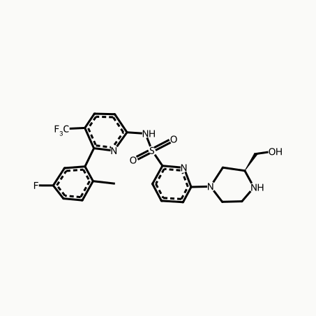 Cc1ccc(F)cc1-c1nc(NS(=O)(=O)c2cccc(N3CCN[C@H](CO)C3)n2)ccc1C(F)(F)F